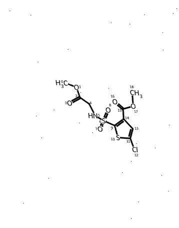 COC(=O)CNS(=O)(=O)c1sc(Cl)cc1C(=O)OC